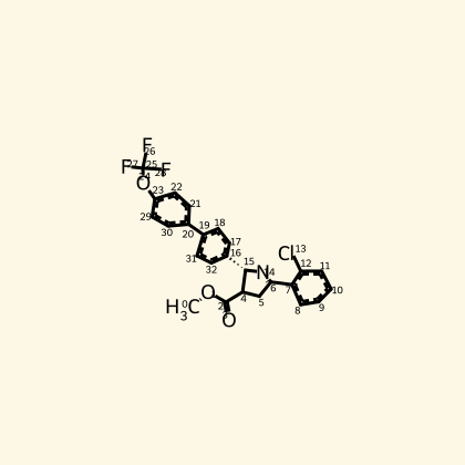 COC(=O)C1CC(c2ccccc2Cl)=N[C@H]1c1ccc(-c2ccc(OC(F)(F)F)cc2)cc1